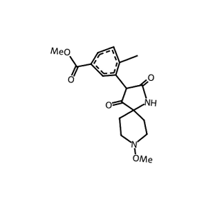 COC(=O)c1ccc(C)c(C2C(=O)NC3(CCN(OC)CC3)C2=O)c1